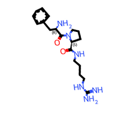 N=C(N)NCCCCNC(=O)[C@@H]1CCCN1C(=O)[C@H](N)Cc1ccccc1